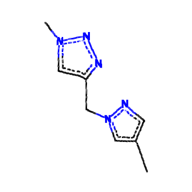 Cc1cnn(Cc2cn(C)nn2)c1